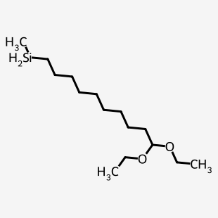 CCOC(CCCCCCCCC[SiH2]C)OCC